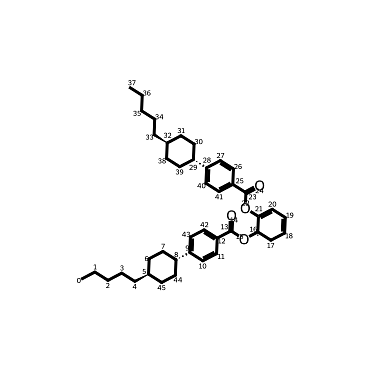 CCCCC[C@H]1CC[C@H](c2ccc(C(=O)O[C]3CC=CC=C3OC(=O)c3ccc([C@H]4CC[C@H](CCCCC)CC4)cc3)cc2)CC1